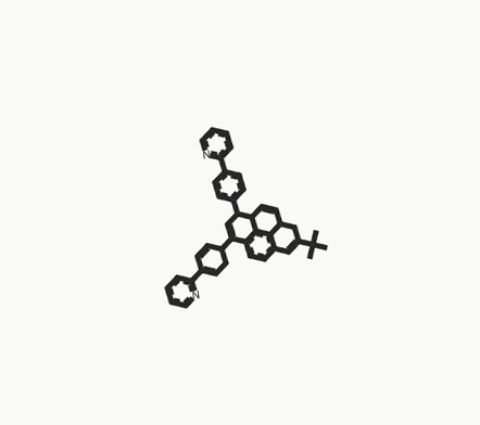 CC(C)(C)C1=Cc2ccc3c4c2C(C=CC4C(c2ccc(-c4ccccn4)cc2)C=C3C2C=CC(c3ccccn3)=CC2)C1